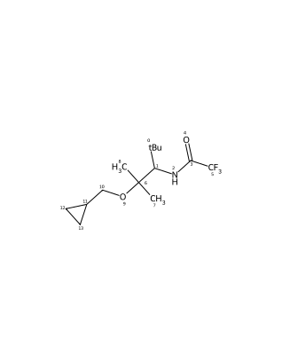 CC(C)(C)C(NC(=O)C(F)(F)F)C(C)(C)OCC1CC1